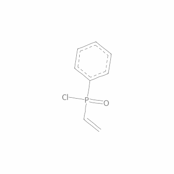 C=CP(=O)(Cl)c1ccccc1